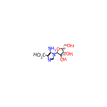 Nc1c(C(=O)O)ncn1C1O[C@H](CO)[C@@H](O)[C@H]1O